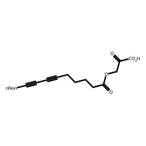 CCCCCCCCCC#CC#CCCCCC(=O)OCC(=O)C(=O)O